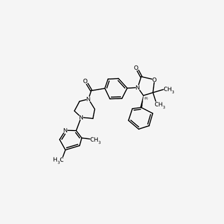 Cc1cnc(N2CCN(C(=O)c3ccc(N4C(=O)OC(C)(C)[C@H]4c4ccccc4)cc3)CC2)c(C)c1